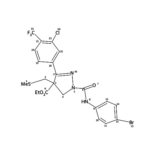 CCOC(=O)C1(CSC)CN(C(=O)Nc2ccc(Br)cc2)N=C1c1ccc(C(F)(F)F)c(Cl)c1